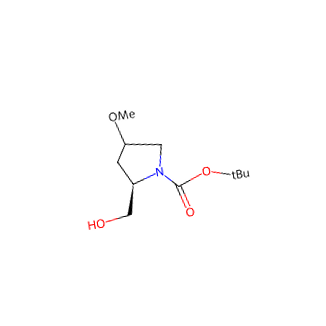 COC1C[C@H](CO)N(C(=O)OC(C)(C)C)C1